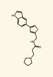 O=C(CCN1CCCC1)NCc1cc(-c2ccc3[nH]ccc3c2)cs1